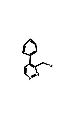 CC(=O)Cc1nnccc1-c1ccccc1